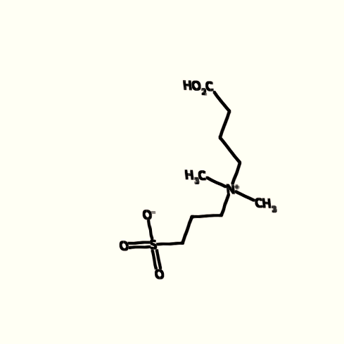 C[N+](C)(CCCC(=O)O)CCCS(=O)(=O)[O-]